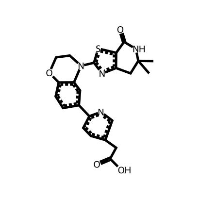 CC1(C)Cc2nc(N3CCOc4ccc(-c5ccc(CC(=O)O)cn5)cc43)sc2C(=O)N1